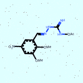 COc1cc([N+](=O)[O-])cc(C=NNC(=N)NOC(C)=O)c1OC